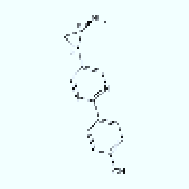 N[C@@H]1C[C@H]1c1cnc(-c2ccc(O)cc2)nc1